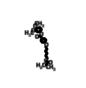 C=C(C)C(=O)OCCCCCCOc1ccc(C(=O)Oc2ccc(OC)c(OC)c2)cc1